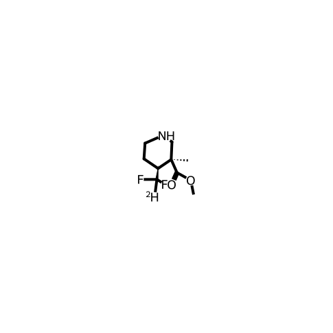 [2H]C(F)(F)[C@H]1CCNC[C@@]1(C)C(=O)OC